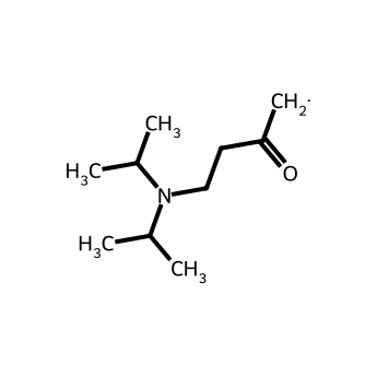 [CH2]C(=O)CCN(C(C)C)C(C)C